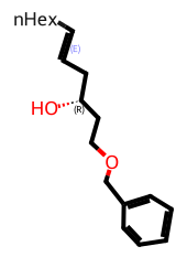 CCCCCC/C=C/C[C@@H](O)CCOCc1ccccc1